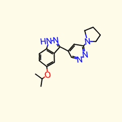 CC(C)Oc1ccc2[nH]nc(-c3cnnc(N4CCCC4)c3)c2c1